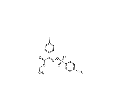 CCOC(=O)/C(=N/OS(=O)(=O)c1ccc(C)cc1)c1ccc(F)cc1